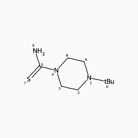 CC(C)(C)N1CCN(C(N)=S)CC1